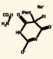 CCCC(C)C1(CC)C(=O)N=C([O-])NC1=O.NC(=O)O.[Na+]